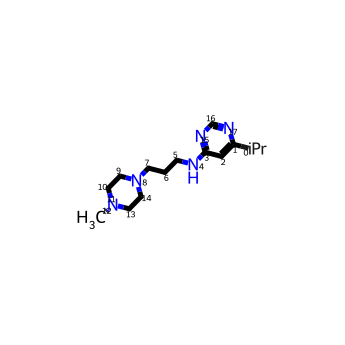 CC(C)c1cc(NCCCN2CCN(C)CC2)ncn1